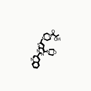 CC(O)C(=O)N1CCN(Cc2cc3c(N4CCOCC4)nc(-c4cnc5ccccc5c4)nc3s2)CC1